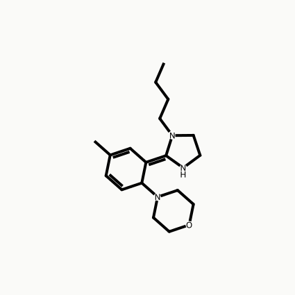 CCCCN1CCNC1=C1C=C(C)C=CC1N1CCOCC1